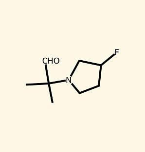 CC(C)(C=O)N1CCC(F)C1